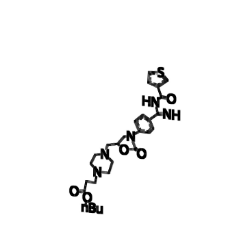 CCCCOC(=O)CCN1CCN(CC2CN(c3ccc(C(=N)NC(=O)c4ccsc4)cc3)C(=O)O2)CC1